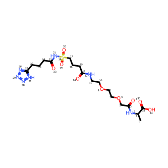 CC(NC(=O)COCCOCCNC(=O)CCCS(=O)(=O)NC(=O)CCCc1nnn[nH]1)C(=O)O